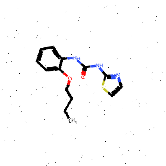 CCCCOc1ccccc1NC(=O)Nc1nccs1